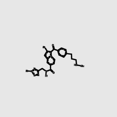 CCc1cc2cc(C(=O)N(CC)Cc3nnn(CC)n3)ccn2c1C(=O)c1ccc(CCCNC(C)(C)C)cc1